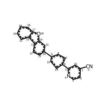 N#Cc1ccnc(-c2ccc(-c3ccc4c(c3)oc3ccccc34)cc2)c1